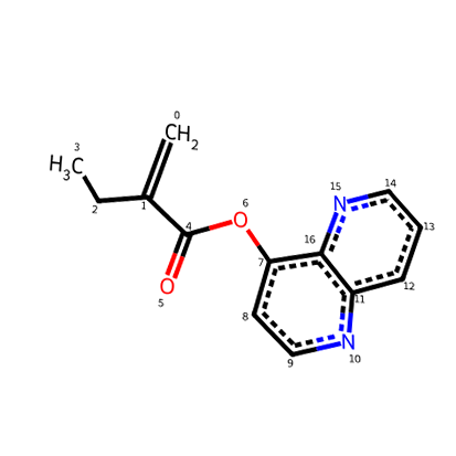 C=C(CC)C(=O)Oc1ccnc2cccnc12